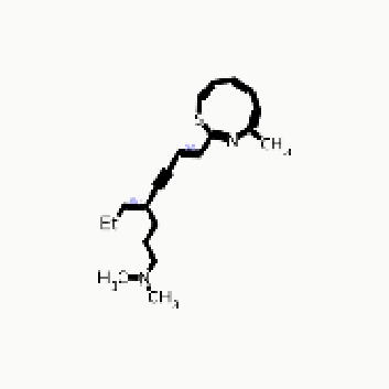 CC/C=C(/C#C/C=C/c1nc(C)cccccs1)CCCN(C)C